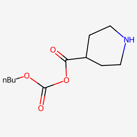 CCCCOC(=O)OC(=O)C1CCNCC1